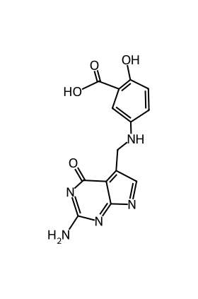 NC1=NC(=O)C2=C(CNc3ccc(O)c(C(=O)O)c3)C=NC2=N1